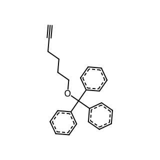 C#CCCCCOC(c1ccccc1)(c1ccccc1)c1ccccc1